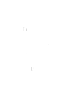 CC(C)[CH]c1cccc(Br)c1